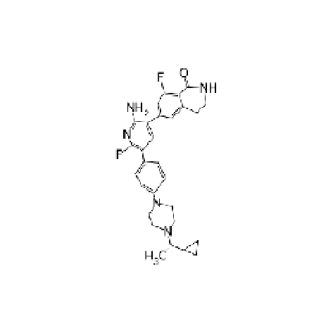 C[C@@H](C1CC1)N1CCN(c2ccc(-c3cc(-c4cc(F)c5c(c4)CCNC5=O)c(N)nc3F)cc2)CC1